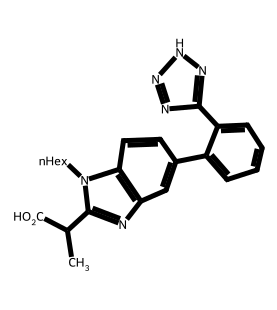 CCCCCCn1c(C(C)C(=O)O)nc2cc(-c3ccccc3-c3nn[nH]n3)ccc21